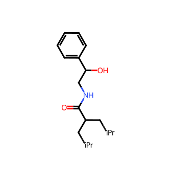 CC(C)CC(CC(C)C)C(=O)NCC(O)c1ccccc1